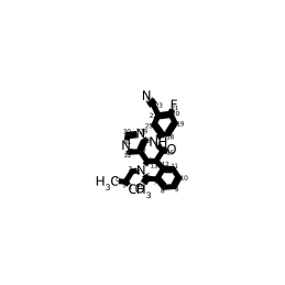 CC(C)CN1C(=O)c2ccccc2C(C(=O)Nc2ccc(F)c(C#N)c2)C1c1cncnc1